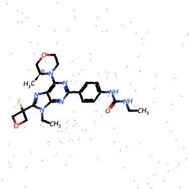 CCNC(=O)Nc1ccc(-c2nc(N3CCOC[C@@H]3C)c3nc(C4(F)COC4)n(CC)c3n2)cc1